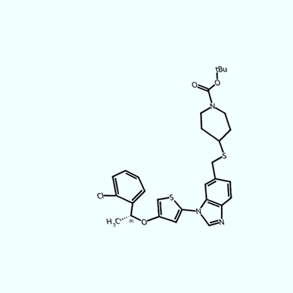 C[C@@H](Oc1csc(-n2cnc3ccc(CSC4CCN(C(=O)OC(C)(C)C)CC4)cc32)c1)c1ccccc1Cl